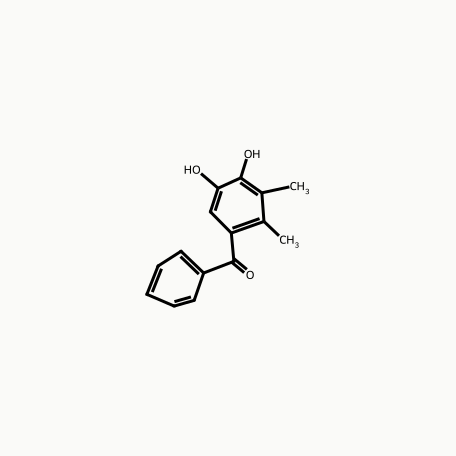 Cc1c(C(=O)c2ccccc2)cc(O)c(O)c1C